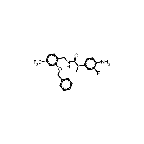 CC(C(=O)NCc1ccc(C(F)(F)F)cc1OCc1ccccc1)c1ccc(N)c(F)c1